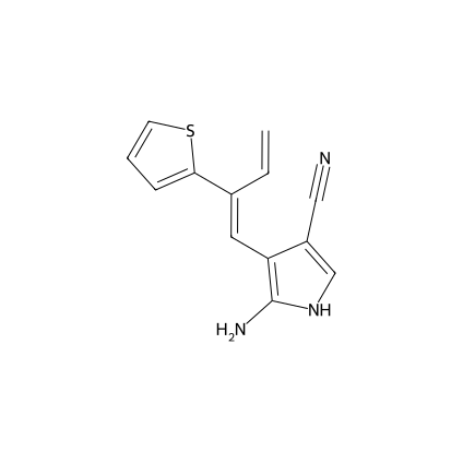 C=C/C(=C\c1c(C#N)c[nH]c1N)c1cccs1